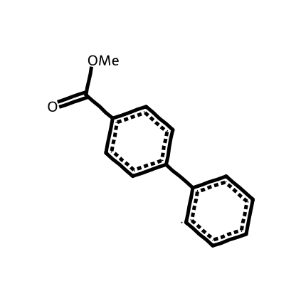 COC(=O)c1ccc(-c2[c]cccc2)cc1